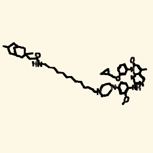 COc1cc(N2CCN(CCCCCCCCCCCCNC(=O)CC3(C)CC4CC(C)CC(C4)C3)CC2)ccc1Nc1ncc2c(C)cc(=O)n(-c3cccc(OCC4CC4)c3)c2n1